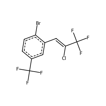 FC(F)(F)C(Cl)=Cc1cc(C(F)(F)F)ccc1Br